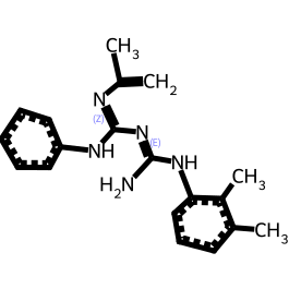 C=C(C)/N=C(\N=C(/N)Nc1cccc(C)c1C)Nc1ccccc1